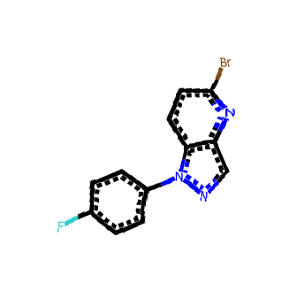 Fc1ccc(-n2ncc3nc(Br)ccc32)cc1